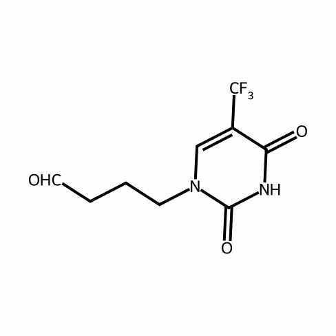 O=CCCCn1cc(C(F)(F)F)c(=O)[nH]c1=O